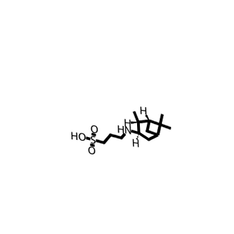 C[C@@H]1[C@H]2CC(C[C@H]1NCCCS(=O)(=O)O)C2(C)C